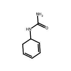 NC(=O)N[C]1C=CC=CC1